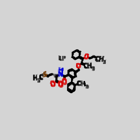 CCCOC(C1CCCCC1)C(C)OCc1ccc(C(=O)N[C@@H](CCSC)C(=O)[O-])c(-c2ccccc2C)c1.[Li+]